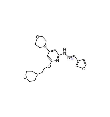 C(=N\Nc1cc(N2CCOCC2)cc(OCCN2CCOCC2)n1)/c1ccoc1